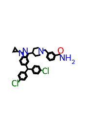 NC(=O)c1cccc(CN2CCC(c3nn(C4CC4)c4ccc(C(c5ccc(Cl)cc5)c5ccc(Cl)cc5)cc34)CC2)c1